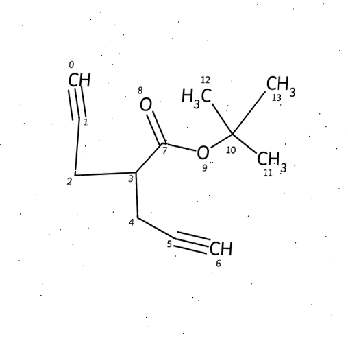 C#CCC(CC#C)C(=O)OC(C)(C)C